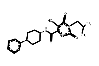 CC(C)Cn1c(=O)[nH]c(C(=O)N[C@H]2CC[C@H](c3ccccc3)CC2)c(O)c1=O